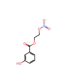 O=C(OCCO[N+](=O)[O-])c1cccc(O)c1